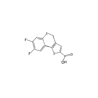 O=C(O)c1cc2c(s1)-c1cc(F)c(F)cc1SC2